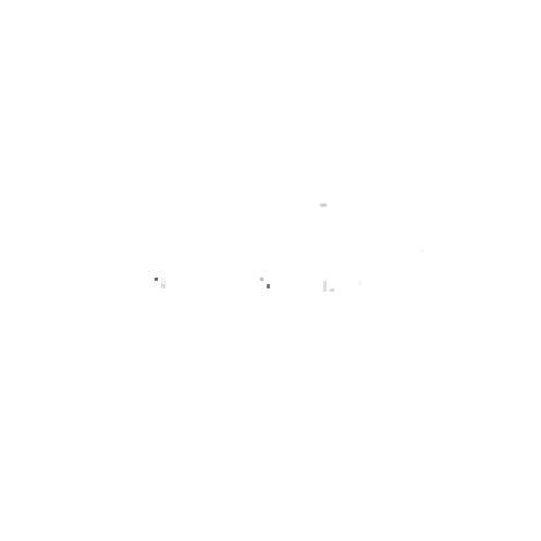 CCc1c(-c2cc3ccc(N4CCCCC4=O)cc3[nH]2)n[nH]c1CC(C)(C)C